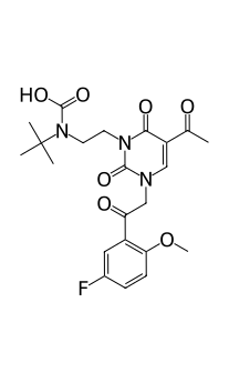 COc1ccc(F)cc1C(=O)Cn1cc(C(C)=O)c(=O)n(CCN(C(=O)O)C(C)(C)C)c1=O